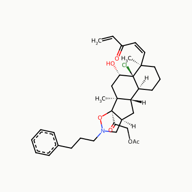 C=CC(=O)/C=C\[C@@]1(C)CCC[C@H]2[C@@H]3C[C@H]4CN(CCCc5ccccc5)O[C@@]4(C(=O)COC(C)=O)[C@@]3(C)C[C@H](O)[C@@]21Cl